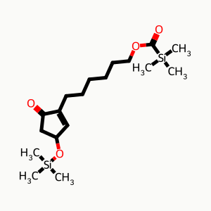 C[Si](C)(C)OC1C=C(CCCCCCOC(=O)[Si](C)(C)C)C(=O)C1